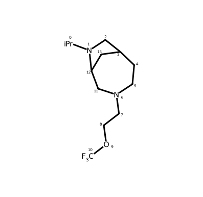 CC(C)N1CC2CCN(CCOC(F)(F)F)CC1C2